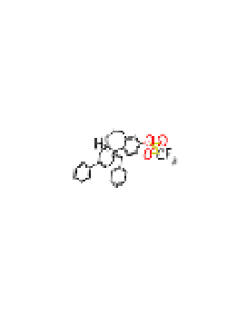 O=S(=O)(Oc1ccc2c(c1)CCC[C@H]1CC(c3ccccc3)=CC[C@@]21Cc1ccccc1)C(F)(F)F